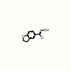 O/N=C(\Cl)c1ccc2c(c1)CCO2